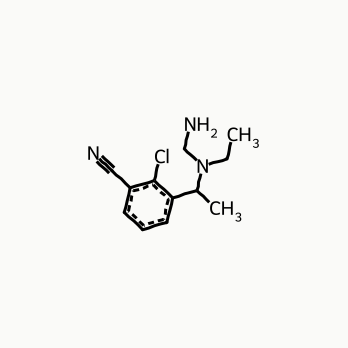 CCN(CN)C(C)c1cccc(C#N)c1Cl